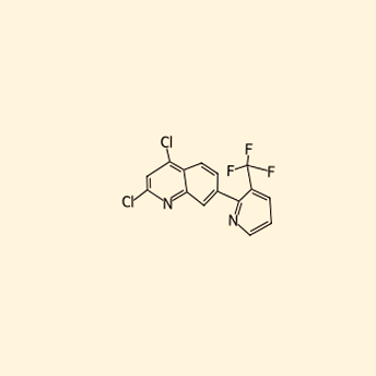 FC(F)(F)c1cccnc1-c1ccc2c(Cl)cc(Cl)nc2c1